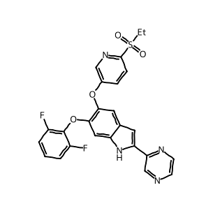 CCS(=O)(=O)c1ccc(Oc2cc3cc(-c4cnccn4)[nH]c3cc2Oc2c(F)cccc2F)cn1